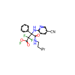 CC(C)CCNC(=O)C(Nc1ccc(C#N)cn1)(c1ccccc1)C(F)(F)C(=O)OF